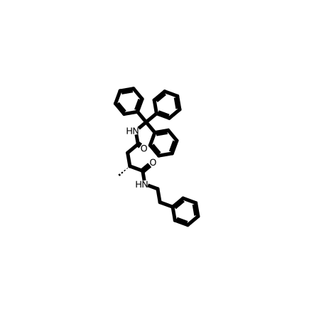 C[C@H](CC(=O)NC(c1ccccc1)(c1ccccc1)c1ccccc1)C(=O)NCCc1ccccc1